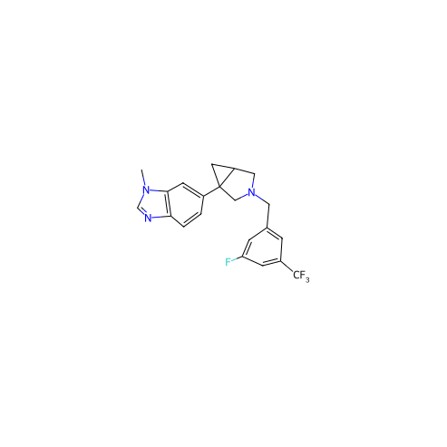 Cn1cnc2ccc(C34CC3CN(Cc3cc(F)cc(C(F)(F)F)c3)C4)cc21